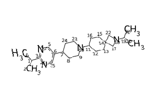 CC(C)c1ncc(C2CCN(C3CCC4(CC3)CN(C(C)C)C4)CC2)cn1